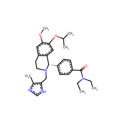 CCN(CC)C(=O)c1ccc([C@H]2c3cc(OC(C)C)c(OC)cc3CCN2Cc2[nH]cnc2C)cc1